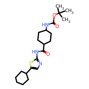 CC(C)(C)OC(=O)NC1CCC(C(=O)Nc2ncc(C3CCCCC3)s2)CC1